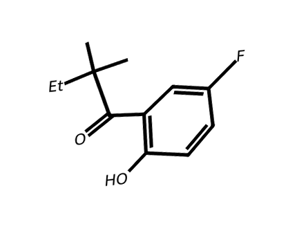 CCC(C)(C)C(=O)c1cc(F)ccc1O